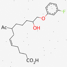 CC(=O)C(C/C=C\CCCC(=O)O)CCCC(O)COc1cccc(F)c1